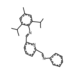 Cc1cc(C(C)C)c(N=Cc2cccc(C=Nc3ccccc3)n2)c(C(C)C)c1